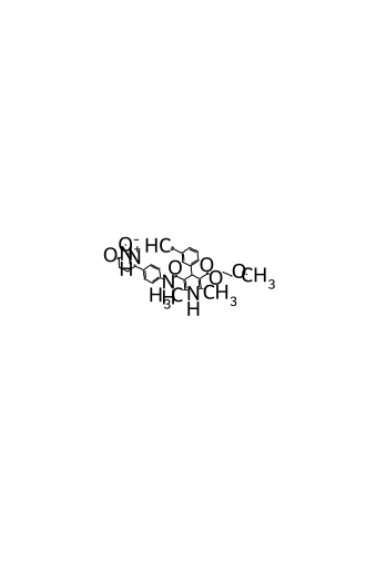 C#Cc1cccc(C2C(C(=O)Nc3ccc(C4=N[NH+]([O-])C(=O)CC4)cc3)=C(C)NC(C)=C2C(=O)OCCOC)c1